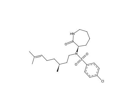 CC(C)=CCC[C@H](C)CCN([C@@H]1CCCCNC1=O)S(=O)(=O)c1ccc(Cl)cc1